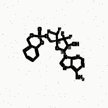 Nc1ncnc2c1ncn2[C@@H]1O[C@@](COP2(=O)OCc3ccccc3O2)(C(F)F)C(F)(F)[C@H]1O